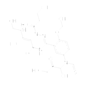 C=C(CCC)N1N=C(c2cc(N(C=S)C(C)C(=O)CC)ccc2OCC)NC(=O)/C1=C(\C)C(C)CC